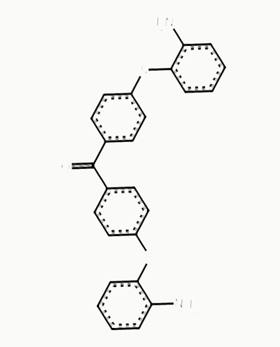 Nc1ccccc1Sc1ccc(C(=O)c2ccc(Sc3ccccc3N)cc2)cc1